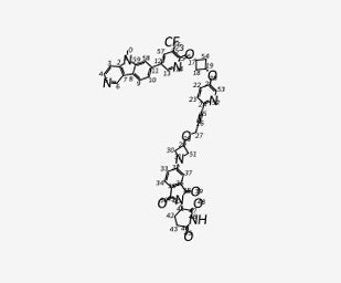 Cn1c2ccncc2c2ccc(-c3cnc(O[C@H]4C[C@H](Oc5ccc(C#CCOC6CN(c7ccc8c(c7)C(=O)N(C7CCC(=O)NC7=O)C8=O)C6)nc5)C4)c(C(F)(F)F)c3)cc21